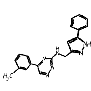 Cc1cccc(-c2cnnc(NCc3cc(-c4ccccc4)[nH]n3)n2)c1